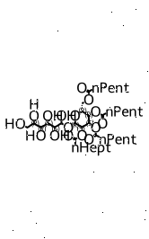 CCCCCCCC(=O)O[C@@H]1[C@@H](OC(O)[C@@H](O)[C@@H](O)[C@H](O)[C@H](O)CO)O[C@H](COC(=O)CCCCC)[C@@H](OC(=O)CCCCC)[C@@H]1OC(=O)CCCCC